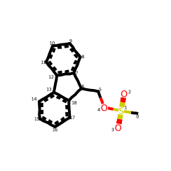 CS(=O)(=O)OCC1c2ccccc2-c2ccccc21